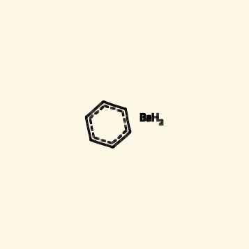 [BaH2].c1ccccc1